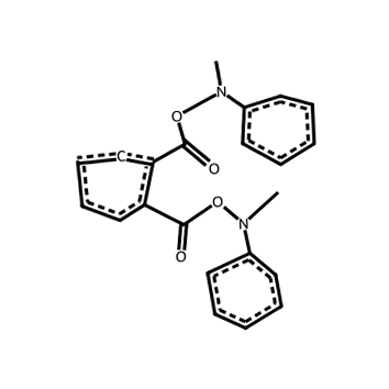 CN(OC(=O)c1ccccc1C(=O)ON(C)c1ccccc1)c1ccccc1